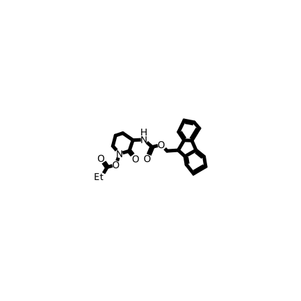 CCC(=O)ON1CCCC(NC(=O)OCC2c3ccccc3-c3ccccc32)C1=O